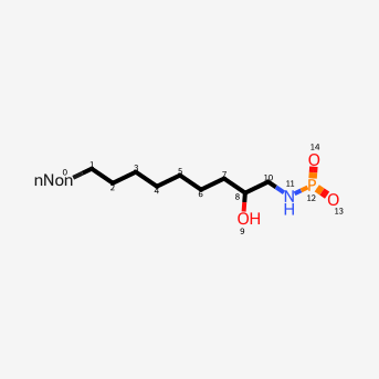 CCCCCCCCCCCCCCCCC(O)CNP(=O)=O